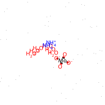 O.O.O.O.O.O.[NH4+].[NH4+].[O]=[Mo](=[O])([O-])[O-]